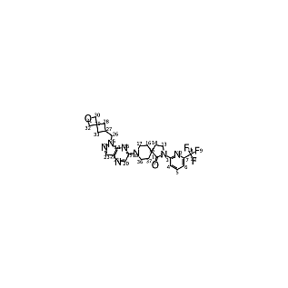 O=C1N(c2cccc(C(F)(F)F)n2)CCC12CCN(c1cnc3cnn(CC4CC5(COC5)C4)c3n1)CC2